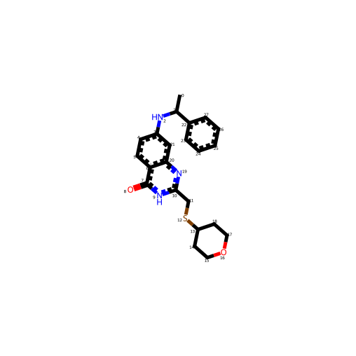 CC(Nc1ccc2c(=O)[nH]c(CSC3CCOCC3)nc2c1)c1ccccc1